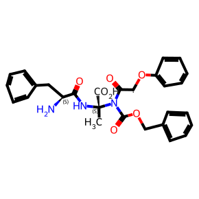 C[C@@](NC(=O)[C@@H](N)Cc1ccccc1)(C(=O)O)N(C(=O)[CH]Oc1ccccc1)C(=O)OCc1ccccc1